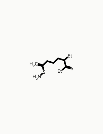 C=C(CCCC(CC)C(=S)CC)SN